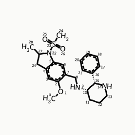 COc1cc2c(cc1CN[C@H]1CCCN[C@H]1c1ccccc1)N(S(C)(=O)=O)C(C)C2